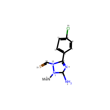 CNN1C(N)N=C(c2ccc(Cl)cc2)N1C=S